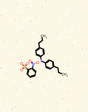 CCCc1ccc([I+]c2ccc(CCC)cc2)cc1.O=[N+]([O-])c1ccccc1S(=O)(=O)[O-]